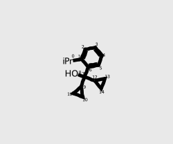 CC(C)c1ccccc1C(O)(C1CC1)C1CC1